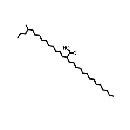 CCCCCCCCCCCCCCC(CCCCCCCCCCC(C)CCC)C(=O)O